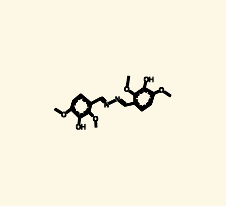 COc1ccc(C=NN=Cc2ccc(OC)c(O)c2OC)c(OC)c1O